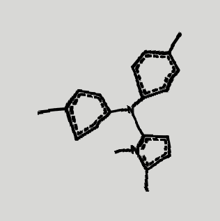 Cc1ccc(N(c2ccc(C)cc2)c2ccc(C)n2C)cc1